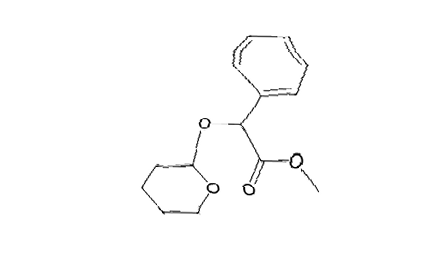 COC(=O)C(OC1CCCCO1)c1ccccc1